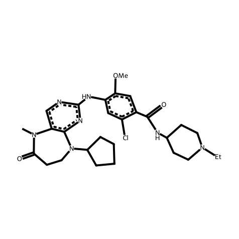 CCN1CCC(NC(=O)c2cc(OC)c(Nc3ncc4c(n3)N(C3CCCC3)CCC(=O)N4C)cc2Cl)CC1